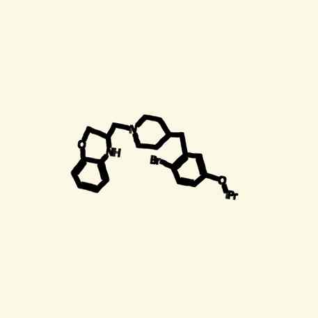 CC(C)Oc1ccc(Br)c(CC2CCN(CC3COc4ccccc4N3)CC2)c1